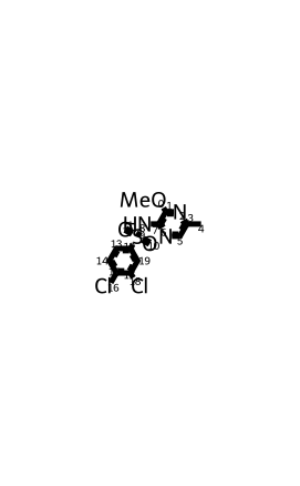 COc1nc(C)cnc1NS(=O)(=O)c1ccc(Cl)c(Cl)c1